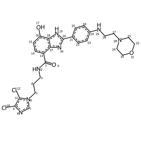 O=C(NCCCn1cnc(Cl)c1Cl)c1ccc(O)c2[nH]c(-c3ccc(NCCN4CCOCC4)cc3)nc12